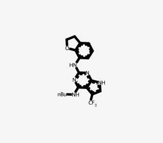 CCCCNc1nc(Nc2cc[c]c3c2OCC3)nc2[nH]cc(C(F)(F)F)c12